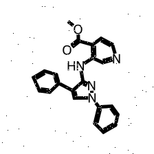 COC(=O)c1ccncc1Nc1nn(-c2ccccc2)cc1-c1ccccc1